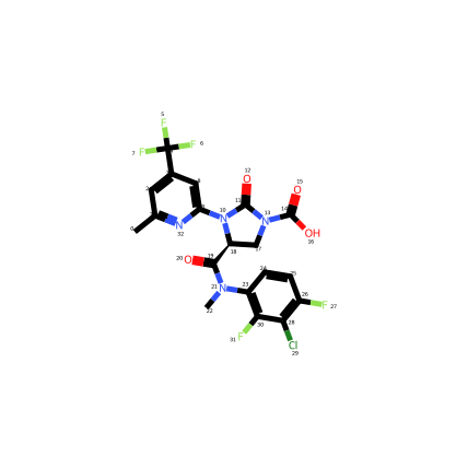 Cc1cc(C(F)(F)F)cc(N2C(=O)N(C(=O)O)C[C@H]2C(=O)N(C)c2ccc(F)c(Cl)c2F)n1